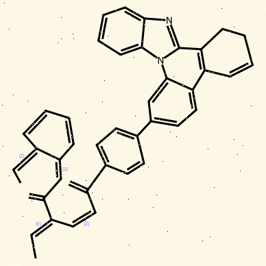 C=C(/C=c1/cccc/c1=C/C)C(/C=C\C(=C)c1ccc(-c2ccc3c4c(c5nc6ccccc6n5c3c2)CCC=C4)cc1)=C/C